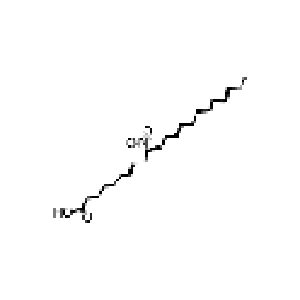 CCC=CCC=CCC=CCC=C(CC=CCC=CCCC(=O)O)[N+](=O)[O-]